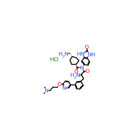 CN(C)CCCOc1ccc(-c2cccc(C[C@H](N)C(=O)N(c3ccc4[nH]c(=O)[nH]c4c3)C(=O)[C@H]3CC[C@H](CN)CC3)c2)cn1.Cl